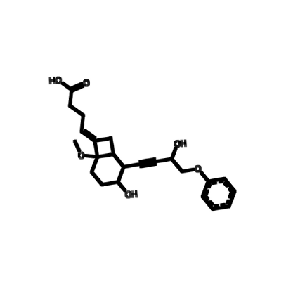 COC12CCC(O)C(C#CC(O)COc3ccccc3)C1CC2=CCCC(=O)O